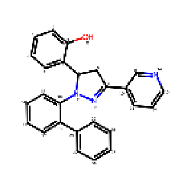 Oc1ccccc1C1CC(c2cccnc2)=NN1c1ccccc1-c1ccccc1